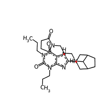 CCCn1c(=O)c2[nH]c(C3CC4CCC(C3)C4NCCCN3CCCC3=O)nc2n(CCC)c1=O